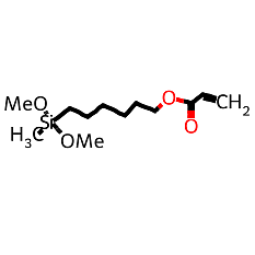 C=CC(=O)OCCCCCC[Si](C)(OC)OC